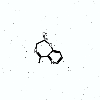 CC[C@@H]1CN=C(C)c2ncccc2O1